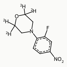 [2H]C1([2H])CN(c2ccc([N+](=O)[O-])cc2F)CC([2H])([2H])O1